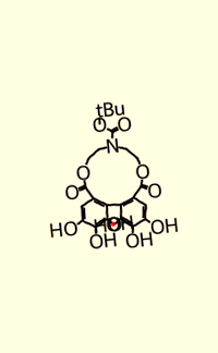 CC(C)(C)OC(=O)N1CCOC(=O)c2cc(O)c(O)c(O)c2-c2c(cc(O)c(O)c2O)C(=O)OCC1